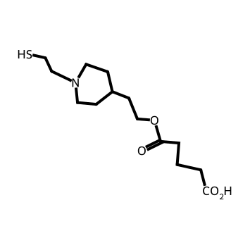 O=C(O)CCCC(=O)OCCC1CCN(CCS)CC1